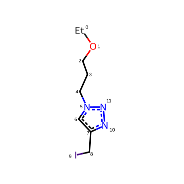 CCOCCCn1cc(CI)nn1